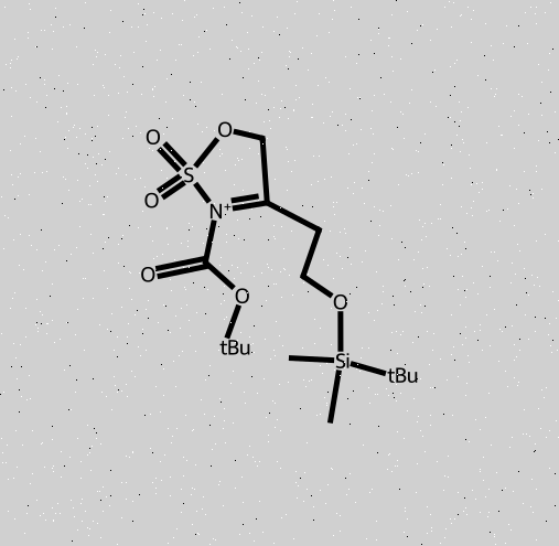 CC(C)(C)OC(=O)[N+]1=C(CCO[Si](C)(C)C(C)(C)C)COS1(=O)=O